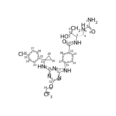 C=C(O)[C@H](CNC(N)=O)NC(=O)c1ccc(Nc2nc(NC3(c4ccc(Cl)cc4)CC3)nc(OCC(F)(F)F)n2)cc1